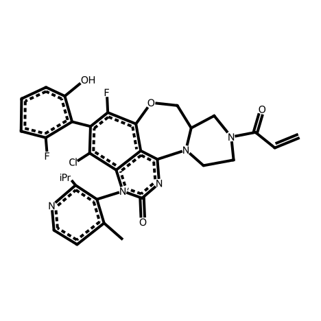 C=CC(=O)N1CCN2c3nc(=O)n(-c4c(C)ccnc4C(C)C)c4c(Cl)c(-c5c(O)cccc5F)c(F)c(c34)OCC2C1